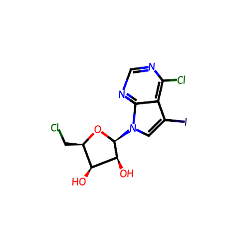 O[C@@H]1[C@H](O)[C@H](n2cc(I)c3c(Cl)ncnc32)O[C@@H]1CCl